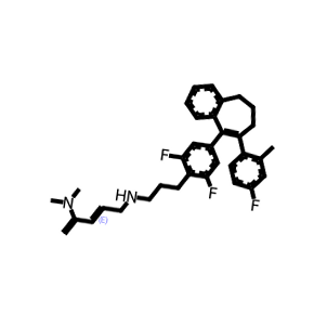 C=C(/C=C/CNCCCc1c(F)cc(C2=C(c3ccc(F)cc3C)CCCc3ccccc32)cc1F)N(C)C